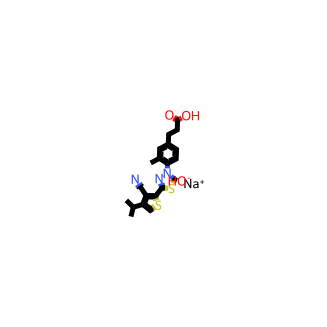 Cc1cc(CCC(=O)O)ccc1N1CSC(c2scc(C(C)C)c2C#N)=N1.[Na+].[OH-]